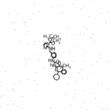 CN1C(=O)[C@H](NC(=O)Nc2cccc(CNc3nccn3C(=O)OC(C)(C)C)c2)N=C(C2CCCCCC2)c2ccccc21